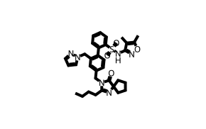 CCCCC1=NC2(CCCC2)C(=O)N1Cc1ccc(-c2ccccc2S(=O)(=O)Nc2noc(C)c2C)c(Cn2cccn2)c1